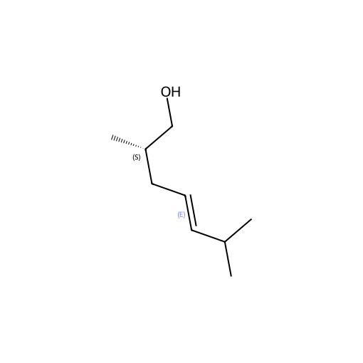 CC(C)/C=C/C[C@H](C)CO